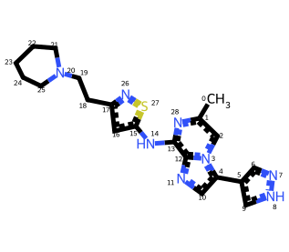 Cc1cn2c(-c3cn[nH]c3)cnc2c(Nc2cc(CCN3CCCCC3)ns2)n1